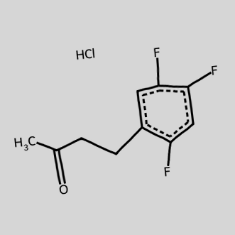 CC(=O)CCc1cc(F)c(F)cc1F.Cl